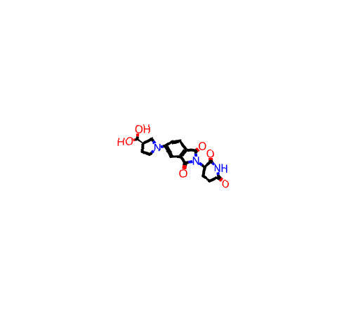 O=C1CCC(N2C(=O)c3ccc(N4CC[C@@H](C(O)O)C4)cc3C2=O)C(=O)N1